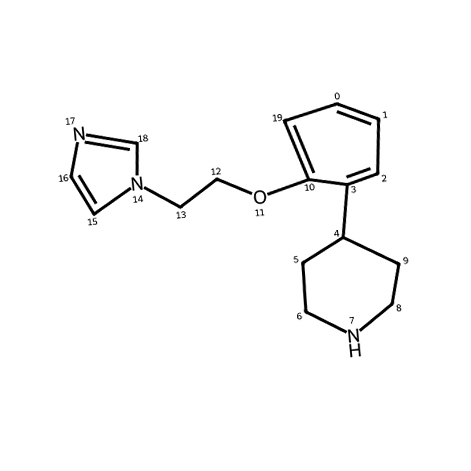 c1ccc(C2CCNCC2)c(OCCn2ccnc2)c1